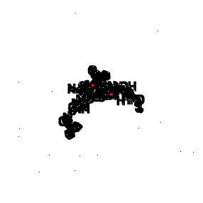 COc1ccc(C(OC[C@H]2O[C@@H](n3cnc4c(N[C@@H](O)c5ccc(CNC(=O)CCC(C)C)cc5)ncnc43)CC2OP(OCCC#N)OC[C@H]2O[C@@H](n3cnc4c(NC(=O)CCCN(C)C(=O)OCC5c6ccccc6-c6ccccc65)ncnc43)CC2OP(OCCC#N)N(C(C)C)C(C)C)(c2ccccc2)c2ccc(OC)cc2)cc1